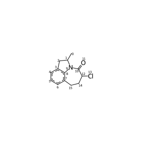 CC1Cc2cccc3c2N1C(=O)C(Cl)CC3